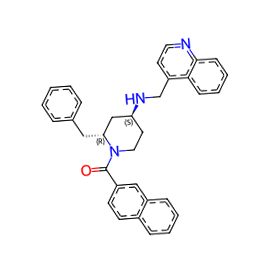 O=C(c1ccc2ccccc2c1)N1CC[C@H](NCc2ccnc3ccccc23)C[C@H]1Cc1ccccc1